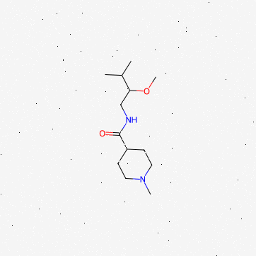 COC(CNC(=O)C1CCN(C)CC1)C(C)C